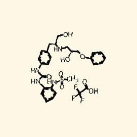 CS(=O)(=O)Nc1ccccc1NC(=O)Nc1ccc(C[C@@H](CO)NC[C@H](O)COc2ccccc2)cc1.O=C(O)C(F)(F)F